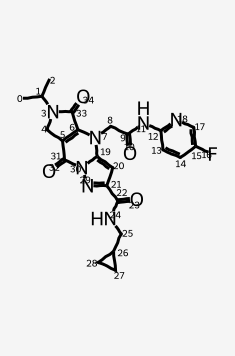 CC(C)N1Cc2c(n(CC(=O)Nc3ccc(F)cn3)c3cc(C(=O)NCC4CC4)nn3c2=O)C1=O